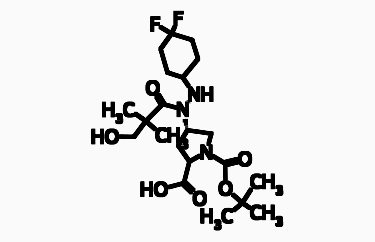 CC(C)(C)OC(=O)N1C[C@@H](N(NC2CCC(F)(F)CC2)C(=O)C(C)(C)CO)CC1C(=O)O